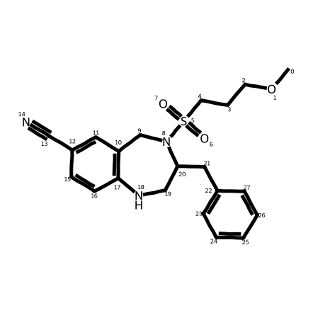 COCCCS(=O)(=O)N1Cc2cc(C#N)ccc2NCC1Cc1ccccc1